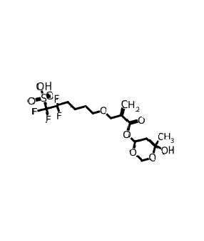 C=C(COCCCCC(F)(F)C(F)(F)S(=O)(=O)O)C(=O)OC1CC(C)(O)OCO1